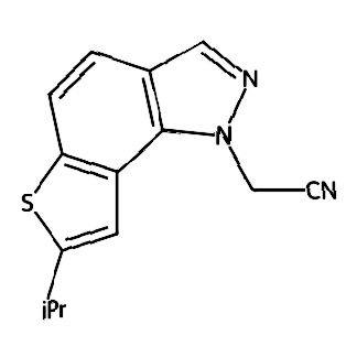 CC(C)c1cc2c(ccc3cnn(CC#N)c32)s1